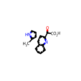 Cc1ccc[nH]1.O=C(O)C(=O)c1ccc2ccccc2n1